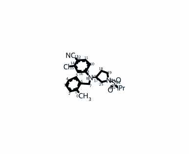 Cc1ccccc1CN(c1ccc(C#N)c(Cl)c1)[C@H]1CCN(S(=O)(=O)C(C)C)C1